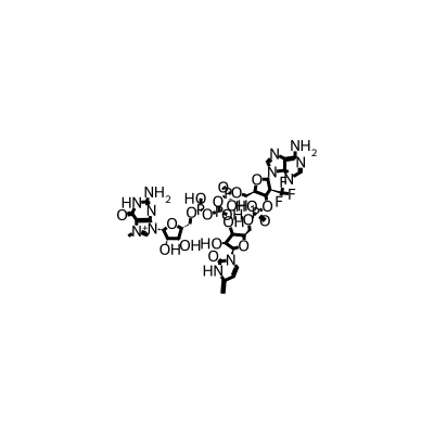 C=C1C=CN([C@@H]2O[C@H](COP(=O)(O)OC3[C@@H](COP(=O)(O)OP(O)OP(O)OC[C@H]4O[C@@H](n5c[n+](C)c6c(=O)[nH]c(N)nc65)[C@@H](O)C4O)O[C@@H](n4cnc5c(N)ncnc54)[C@H]3C(F)(F)F)C(O)[C@@H]2O)C(=O)N1